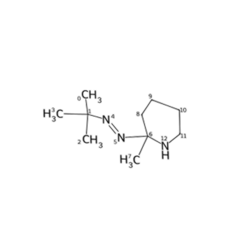 CC(C)(C)N=NC1(C)CCCCN1